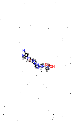 C[C@@H]1CN(c2ccc(C#N)c3ncccc23)C[C@H](CN2CCN(c3ccnc(N4CCN(C(=O)[C@H]5CCCN5C(=O)O)CC4)n3)CC2)O1